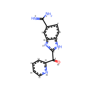 N=C(N)c1ccc2[nH]c(C(=O)c3ccccn3)nc2c1